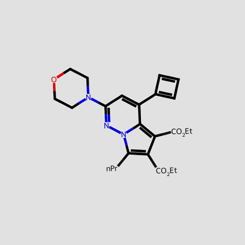 CCCc1c(C(=O)OCC)c(C(=O)OCC)c2c(C3=CC=C3)cc(N3CCOCC3)nn12